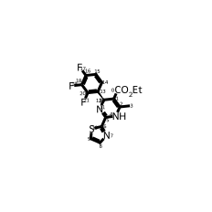 CCOC(=O)C1=C(C)NC(c2nccs2)=N[C@H]1c1ccc(F)c(F)c1F